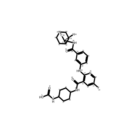 O=C(O)NC1CCC(NC(=O)c2cc(F)cnc2Nc2cccc(C(=O)N[C@H]3CN4CCC3CC4)c2)CC1